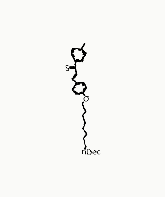 CCCCCCCCCCCCCCCCCCOc1ccc(C=CC(=S)c2ccc(C)cc2)cc1